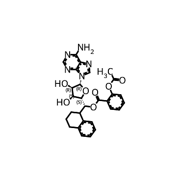 CC(=O)Oc1ccccc1C(=O)OC(C1CCCc2ccccc21)[C@H]1O[C@@H](n2cnc3c(N)ncnc32)[C@H](O)[C@@H]1O